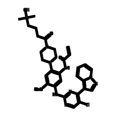 C=CC(=O)Nc1cc(Nc2ncc(Cl)c(-c3cnn4ccccc34)n2)c(OC)cc1N1CCN(C(=O)CCC[Si](C)(C)O)CC1